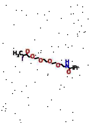 CC(C)C(=O)NCCOCCOCCOCCOCC(=O)C(C)I